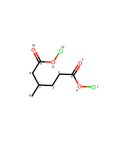 CC(CCC(=O)OCl)CC(=O)OCl